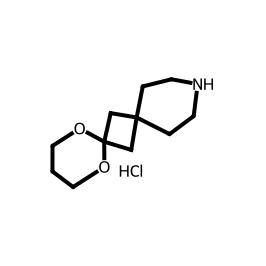 C1COC2(CC3(CCNCC3)C2)OC1.Cl